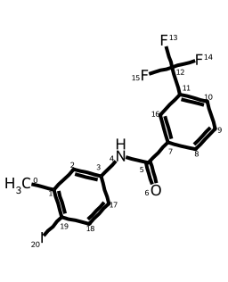 Cc1cc(NC(=O)c2cccc(C(F)(F)F)c2)ccc1I